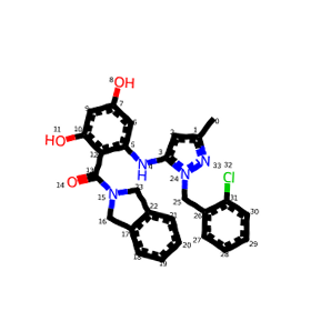 Cc1cc(Nc2cc(O)cc(O)c2C(=O)N2Cc3ccccc3C2)n(Cc2ccccc2Cl)n1